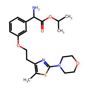 Cc1sc(N2CCOCC2)nc1CCOc1[c]c(C(N)C(=O)OC(C)C)ccc1